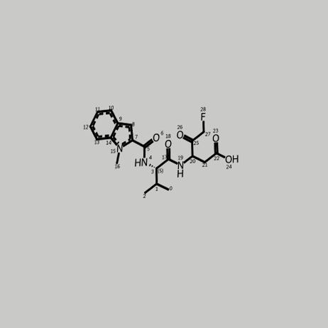 CC(C)[C@H](NC(=O)c1cc2ccccc2n1C)C(=O)NC(CC(=O)O)C(=O)CF